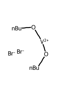 CCCC[O][V+2][O]CCCC.[Br-].[Br-]